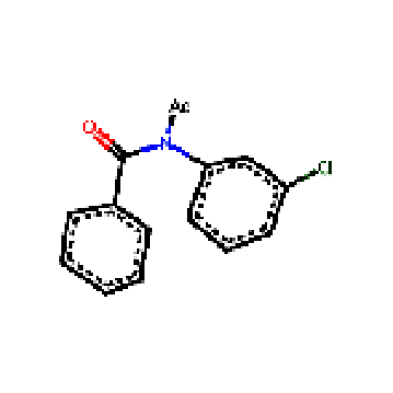 CC(=O)N(C(=O)c1ccccc1)c1cccc(Cl)c1